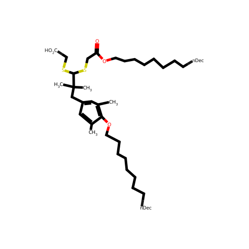 CCCCCCCCCCCCCCCCCCOC(=O)CSC(SCC(=O)O)C(C)(C)Cc1cc(C)c(OCCCCCCCCCCCCCCCCCC)c(C)c1